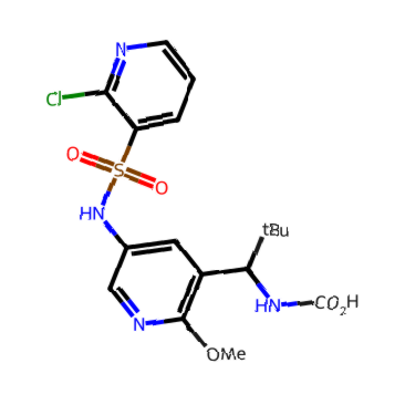 COc1ncc(NS(=O)(=O)c2cccnc2Cl)cc1C(NC(=O)O)C(C)(C)C